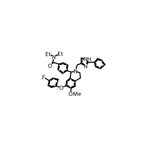 CCN(CC)C(=O)c1ccc(C2c3cc(Oc4ccc(F)cc4)c(OC)cc3CCN2Cc2c[nH]c(-c3ccccc3)n2)cc1